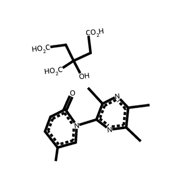 Cc1ccc(=O)n(-c2nc(C)c(C)nc2C)c1.O=C(O)CC(O)(CC(=O)O)C(=O)O